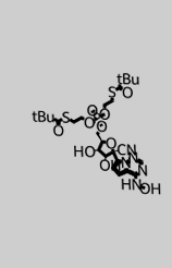 CC(C)(C)C(=O)SCCOP(=O)(OCCSC(=O)C(C)(C)C)OC[C@H]1O[C@@](C#N)(c2ccc3c(NO)ncnn23)[C@H](O)[C@@H]1O